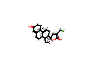 C[C@]12CCC(=O)C=C1CCC1C2=CC[C@@]2(C)C1CC[C@@]21CC(CF)C(=O)O1